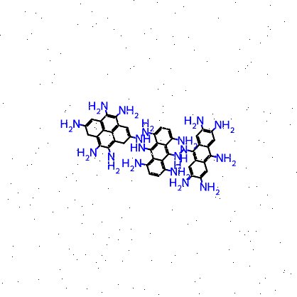 NC1=Cc2c(N)c(N)c3c4c(c(N)c(N)c(c24)C1)CC(NNc1c2c(N)ccc(N)c2c(NNc2c4cc(N)c(N)cc4c(N)c4cc(N)c(N)cc24)c2c(N)ccc(N)c12)=C3